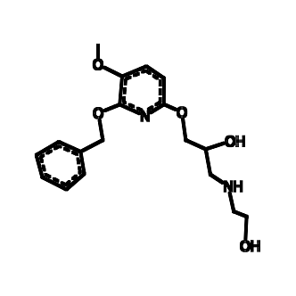 COc1ccc(OCC(O)CNCCO)nc1OCc1ccccc1